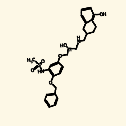 CS(=O)(=O)Nc1cc(OC[C@H](O)CNCC2CCc3c(O)cccc3C2)ccc1OCc1ccccc1